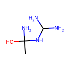 CC(N)(O)NC(N)N